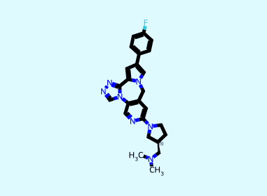 CN(C)C[C@@H]1CCN(c2cc3c(cn2)-n2cnnc2-c2cc(-c4ccc(F)cc4)cn2C3)C1